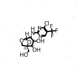 OC[C@@]12CO[C@@H](O1)[C@H](Nc1ncc(C(F)(F)F)c(Cl)n1)[C@@H](O)[C@H]2O